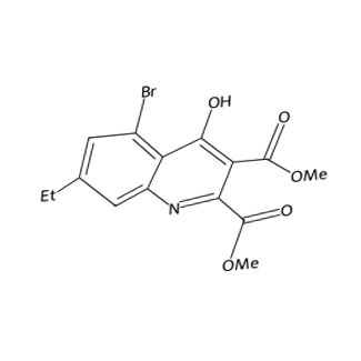 CCc1cc(Br)c2c(O)c(C(=O)OC)c(C(=O)OC)nc2c1